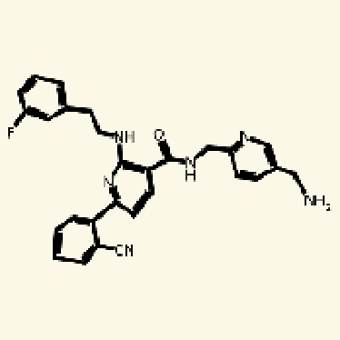 N#Cc1ccccc1-c1ccc(C(=O)NCc2ccc(CN)cn2)c(NCCc2cccc(F)c2)n1